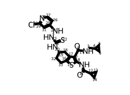 O=C(NCC1CC1)c1c(NC(=O)C2CC2)sc2c1C[C@@H](NC(=S)NNc1ccnc(Cl)c1)CC2